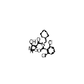 Cc1nnsc1C(=O)N(CC1CCCCC1)C(=O)c1c(Cl)cccc1Cl